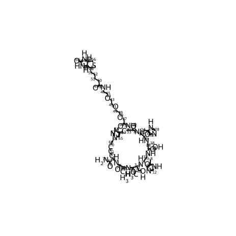 C[C@H](O)[C@H]1NC(=O)[C@@H](Cc2cnc[nH]2)NC(=O)[C@@H](CO)NC(=O)[C@@H](Cc2cnc[nH]2)NC(=O)[C@@H](NC(=O)COCCOCCOCCNC(=O)CCCC[C@@H]2SC[C@@H]3NC(=O)N[C@@H]32)Cc2cn(nn2)CCCC[C@@H](C(N)=O)NC(=O)[C@@H](C)NC1=O